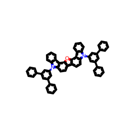 c1ccc(-c2cc(-c3ccccc3)cc(-n3c4ccccc4c4c5oc6c(ccc7c6c6ccccc6n7-c6cc(-c7ccccc7)cc(-c7ccccc7)c6)c5ccc43)c2)cc1